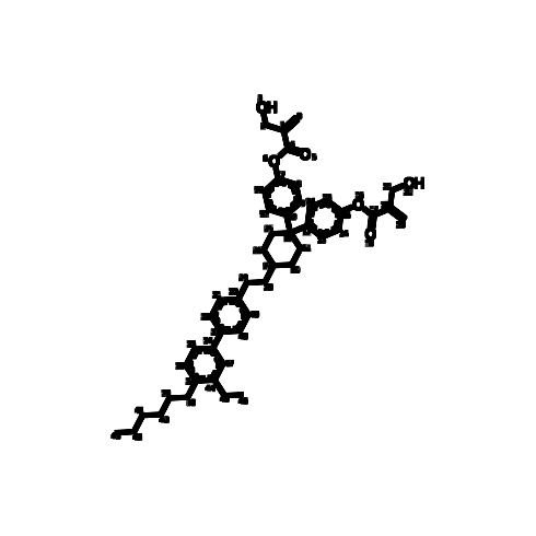 C=C(CO)C(=O)Oc1ccc(C2(c3ccc(OC(=O)C(=C)CO)cc3)CCC(CCc3ccc(-c4ccc(CCCCCC)c(CC)c4)cc3)CC2)cc1